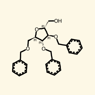 OC[C@H]1O[C@H](COCc2ccccc2)[C@@H](OCc2ccccc2)[C@@H]1OCc1ccccc1